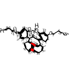 CC(C)CCOc1ccc(C(C(=O)C(c2ccccc2)c2ccc(OCCC(C)C)cc2O)c2ccccc2)c(O)c1